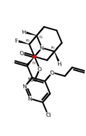 C=CCOc1cc(Cl)nnc1C(=C)[C@@H]1C[C@H]2CCC[C@@H]([C@@H]1F)N2C(=O)OC(C)(C)C